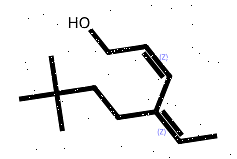 C/C=C(\C=C/CO)CCC(C)(C)C